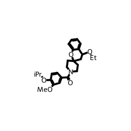 CCOC1CC2(CCN(C(=O)c3ccc(OC(C)C)c(OC)c3)CC2)Oc2ccccc21